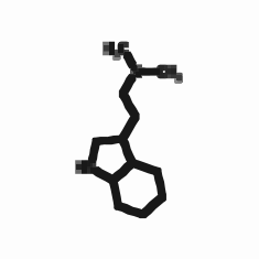 CN(C)CCC1CNC2CCCCC12